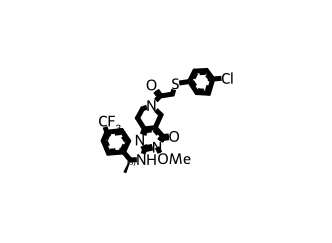 COn1c(N[C@@H](C)c2ccc(C(F)(F)F)cc2)nc2c(c1=O)CN(C(=O)CSc1ccc(Cl)cc1)CC2